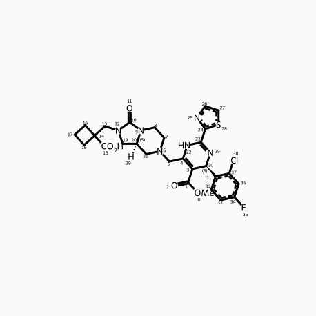 COC(=O)C1=C(CN2CCN3C(=O)N(CC4(C(=O)O)CCC4)C[C@@H]3C2)NC(c2nccs2)=N[C@H]1c1ccc(F)cc1Cl